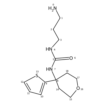 NCCCNC(=O)NC1(c2cccs2)CCOCC1